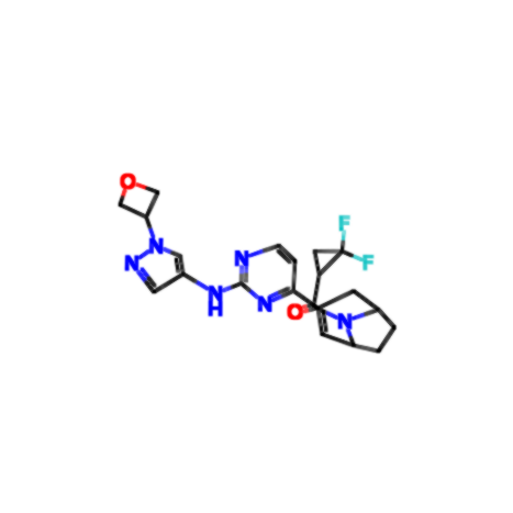 O=C(C1CC1(F)F)N1C2C=C(c3ccnc(Nc4cnn(C5COC5)c4)n3)CC1CC2